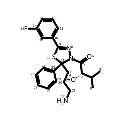 CC(C)[C@H](O)C(=O)N1N=C(c2cccc(F)c2)SC1(CCCN)c1ccccc1